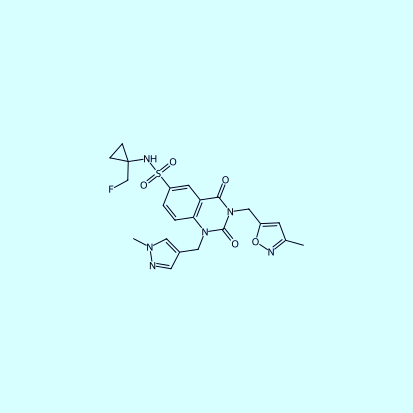 Cc1cc(Cn2c(=O)c3cc(S(=O)(=O)NC4(CF)CC4)ccc3n(Cc3cnn(C)c3)c2=O)on1